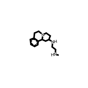 CNCCNC1CCN2CCc3ccccc3C2C1